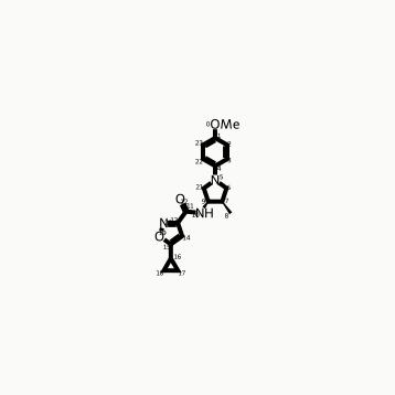 COc1ccc(N2C[C@@H](C)[C@@H](NC(=O)c3cc(C4CC4)on3)C2)cc1